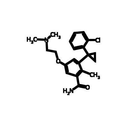 Cc1c(C(N)=O)cc(OCCN(C)C)cc1C1(c2ccccc2Cl)CC1